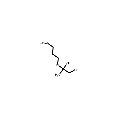 CCCCCCCCNC(C)(C)CO